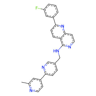 Cc1cc(-c2ccc(CNc3nccc4nc(-c5cccc(F)c5)ccc34)cn2)ccn1